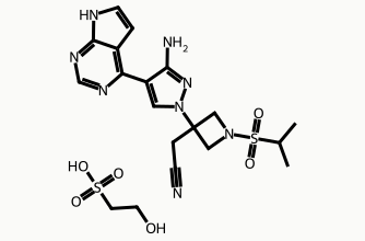 CC(C)S(=O)(=O)N1CC(CC#N)(n2cc(-c3ncnc4[nH]ccc34)c(N)n2)C1.O=S(=O)(O)CCO